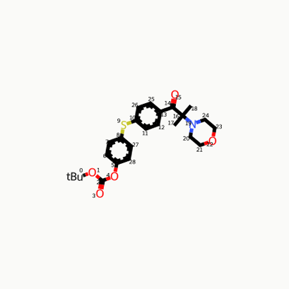 CC(C)(C)OC(=O)Oc1ccc(Sc2ccc(C(=O)C(C)(C)N3CCOCC3)cc2)cc1